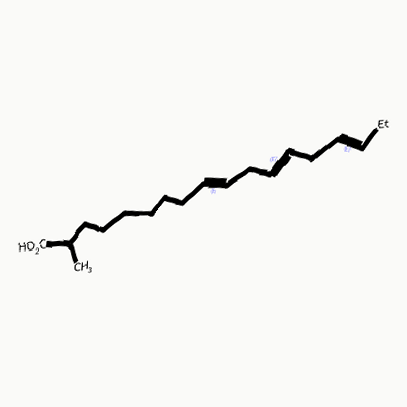 CC/C=C/C/C=C/C/C=C/CCCCCCC(C)C(=O)O